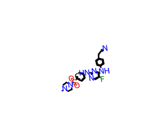 CN1CCN(S(=O)(=O)c2ccc(Nc3ncc(F)c(Nc4ccc(CC#N)cc4)n3)cc2)CC1